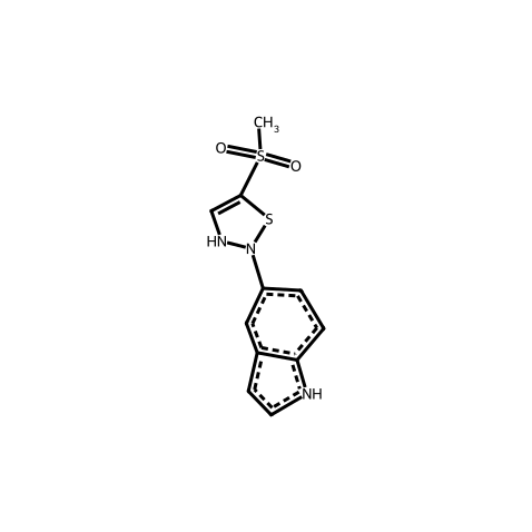 CS(=O)(=O)C1=CNN(c2ccc3[nH]ccc3c2)S1